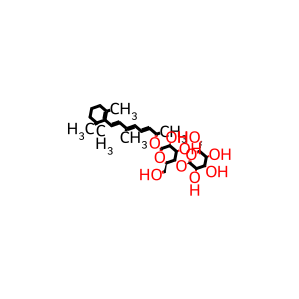 CC1=C(/C=C/C(C)=C/C=C/C(C)OC2O[C@H](CO)[C@@H](O[C@@H]3O[C@H](CO)[C@@H](O)[C@H](O)[C@H]3O)[C@H](O)[C@H]2O)C(C)(C)CCC1